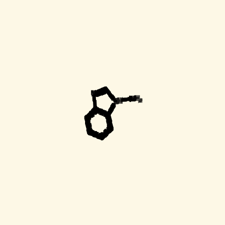 N[SH]1C=Nc2ccccc21